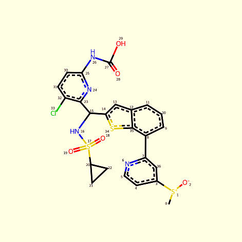 C[S+]([O-])c1ccnc(-c2cccc3cc(C(NS(=O)(=O)C4CC4)c4nc(NC(=O)O)ccc4Cl)sc23)c1